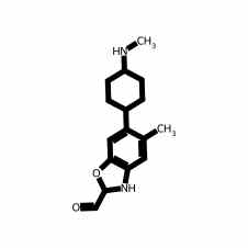 CNC1CCC(c2cc3c(cc2C)NC(C=O)O3)CC1